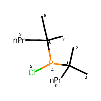 CCCC(C)(C)P(Cl)C(C)(C)CCC